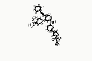 COC1(C)CCN(c2cc(Nc3ccnc(-c4cnn(S(=O)(=O)C5CC5)c4)n3)ncc2C#Cc2cccnc2)CC1